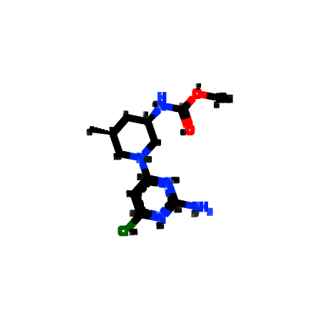 C[C@@H]1C[C@@H](NC(=O)OC(C)(C)C)CN(c2cc(Cl)nc(N)n2)C1